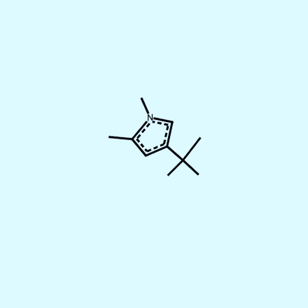 Cc1cc(C(C)(C)C)cn1C